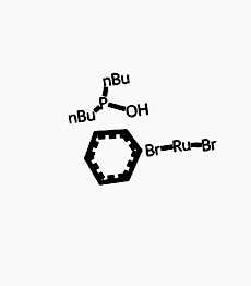 CCCCP(O)CCCC.[Br][Ru][Br].c1ccccc1